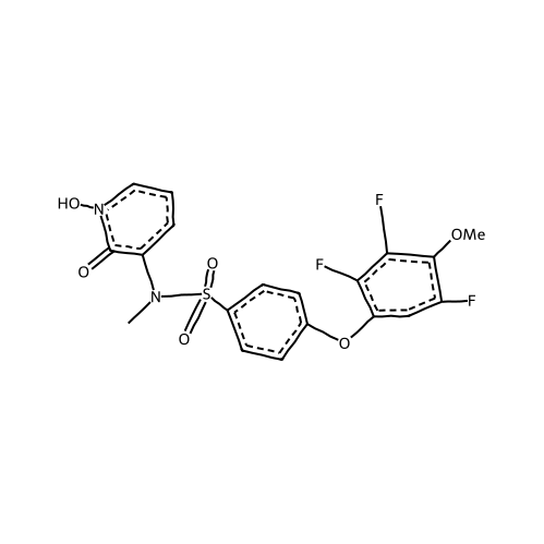 COc1c(F)cc(Oc2ccc(S(=O)(=O)N(C)c3cccn(O)c3=O)cc2)c(F)c1F